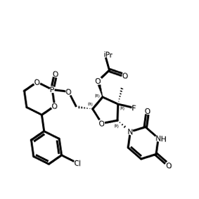 CC(C)C(=O)O[C@@H]1[C@@H](COP2(=O)OCCC(c3cccc(Cl)c3)O2)O[C@@H](n2ccc(=O)[nH]c2=O)[C@]1(C)F